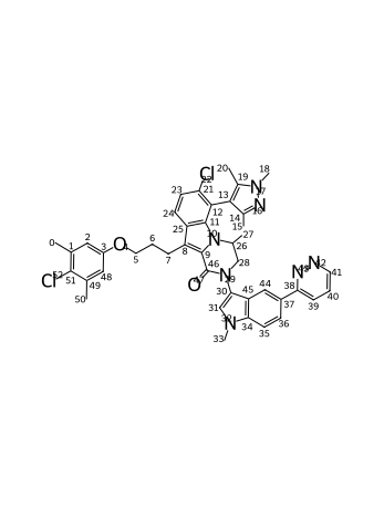 Cc1cc(OCCCc2c3n(c4c(-c5c(C)nn(C)c5C)c(Cl)ccc24)C(C)CN(c2cn(C)c4ccc(-c5cccnn5)cc24)C3=O)cc(C)c1Cl